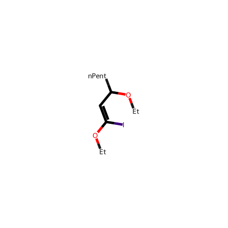 CCCCCC(C=C(I)OCC)OCC